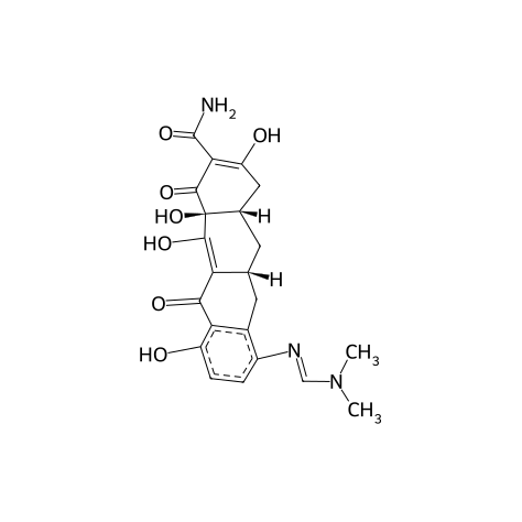 CN(C)/C=N/c1ccc(O)c2c1C[C@H]1C[C@H]3CC(O)=C(C(N)=O)C(=O)[C@@]3(O)C(O)=C1C2=O